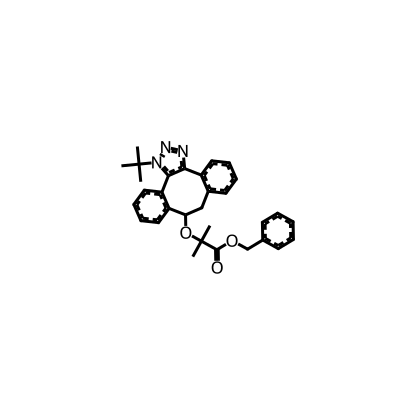 CC(C)(OC1Cc2ccccc2-c2nnn(C(C)(C)C)c2-c2ccccc21)C(=O)OCc1ccccc1